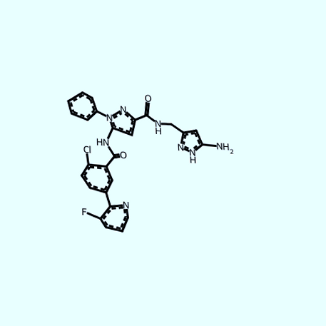 Nc1cc(CNC(=O)c2cc(NC(=O)c3cc(-c4ncccc4F)ccc3Cl)n(-c3ccccc3)n2)n[nH]1